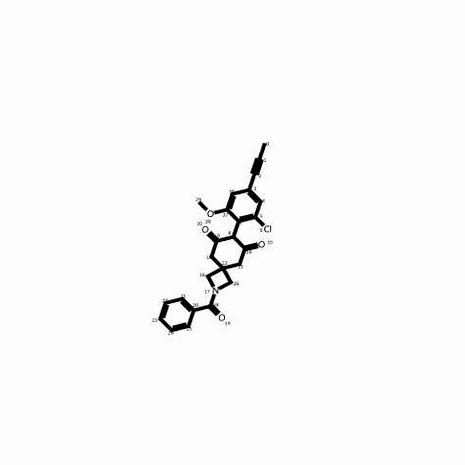 CC#Cc1cc(Cl)c(C2C(=O)CC3(CC2=O)CN(C(=O)c2ccccc2)C3)c(OC)c1